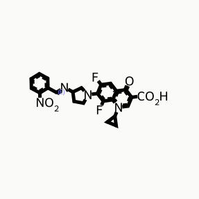 O=C(O)c1cn(C2CC2)c2c(F)c(N3CCC(/N=C/c4ccccc4[N+](=O)[O-])C3)c(F)cc2c1=O